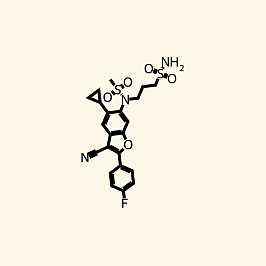 CS(=O)(=O)N(CCCS(N)(=O)=O)c1cc2oc(-c3ccc(F)cc3)c(C#N)c2cc1C1CC1